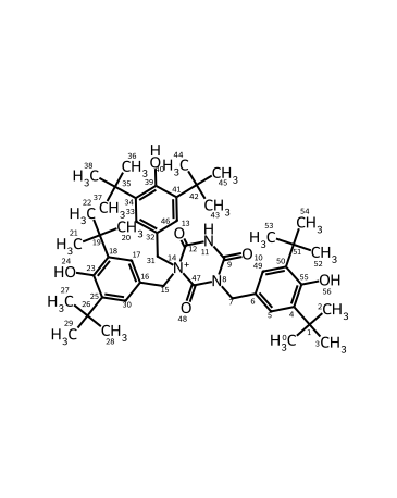 CC(C)(C)c1cc(CN2C(=O)NC(=O)[N+](Cc3cc(C(C)(C)C)c(O)c(C(C)(C)C)c3)(Cc3cc(C(C)(C)C)c(O)c(C(C)(C)C)c3)C2=O)cc(C(C)(C)C)c1O